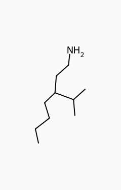 CCCCC(CCN)C(C)C